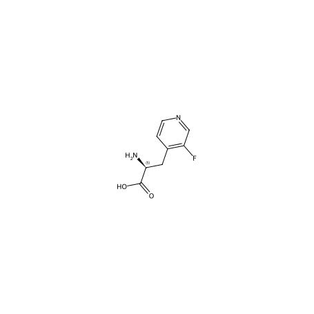 N[C@@H](Cc1ccncc1F)C(=O)O